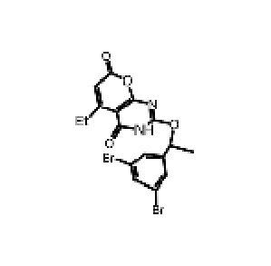 CCc1cc(=O)oc2nc(OC(C)c3cc(Br)cc(Br)c3)[nH]c(=O)c12